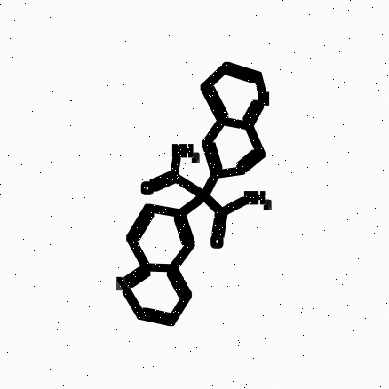 NC(=O)C(C(N)=O)(c1ccc2ncccc2c1)c1ccc2ncccc2c1